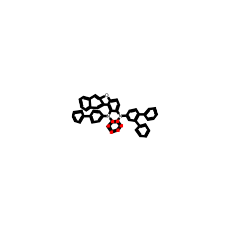 c1ccc(-c2ccc(N(c3ccccc3)c3c(N(c4ccccc4)c4ccc(-c5ccccc5)c(-c5ccccc5)c4)ccc4oc5cc6ccccc6cc5c34)cc2)cc1